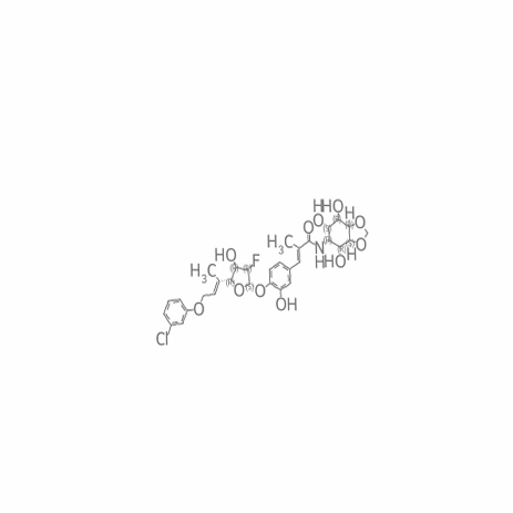 CC(=Cc1ccc(O[C@@H]2O[C@H](C(C)=CCOc3cccc(Cl)c3)[C@@H](O)[C@H]2F)c(O)c1)C(=O)N[C@@H]1[C@H](O)[C@@H](O)[C@H]2OCO[C@H]2[C@@H]1O